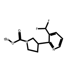 CC(C)(C)OC(=O)N1CCC(c2ncccc2C(F)F)C1